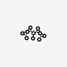 c1ccc(-c2cc(-n3c4ccccc4c4cc5c6ccccc6n(-c6ccccc6)c5cc43)nc(-n3c4ccccc4c4cc5c6ccccc6n(-c6ccccc6)c5cc43)n2)cc1